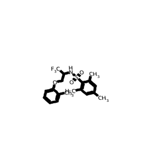 Cc1cc(C)c(S(=O)(=O)NC(COc2ccccc2C(F)(F)F)C(F)(F)F)c(C)c1